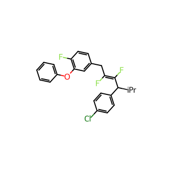 CC(C)C(/C(F)=C(\F)Cc1ccc(F)c(Oc2ccccc2)c1)c1ccc(Cl)cc1